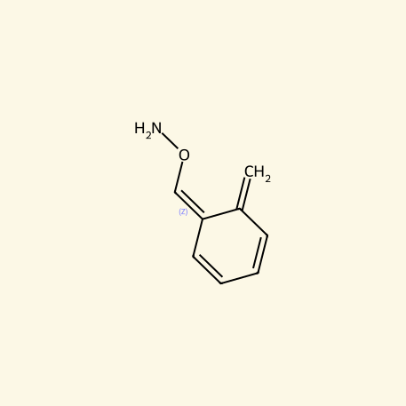 C=c1cccc/c1=C/ON